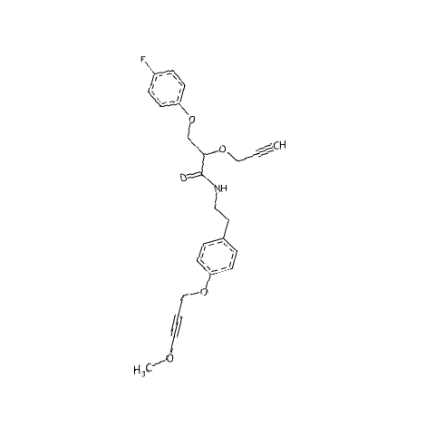 C#CCOC(COc1ccc(F)cc1)C(=O)NCCc1ccc(OCC#COC)cc1